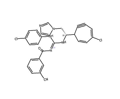 N#Cc1cccc(C(=O)/N=C(\Nc2ccc(Cl)cc2)N[C@H](Cn2ccnc2)C2C#CC=C(Cl)C=C2)c1